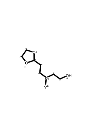 CC(=O)N(CCO)CCC1OCCO1